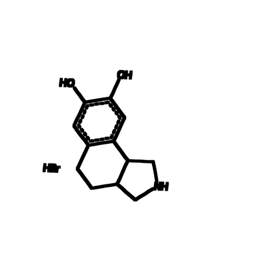 Br.Oc1cc2c(cc1O)C1CNCC1CC2